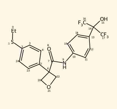 CCSc1ccc(C2(C(=O)Nc3ccc(C(O)(C(F)(F)F)C(F)(F)F)cc3)COC2)cc1